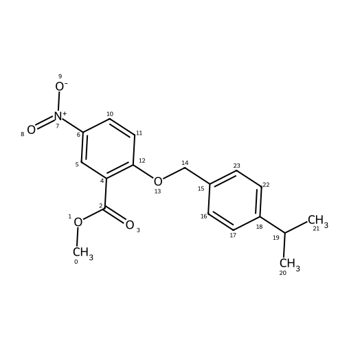 COC(=O)c1cc([N+](=O)[O-])ccc1OCc1ccc(C(C)C)cc1